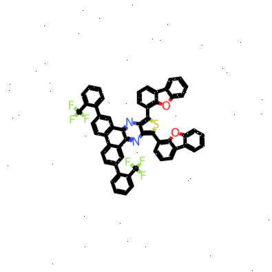 FC(F)(F)c1ccccc1-c1ccc2c3ccc(-c4ccccc4C(F)(F)F)cc3c3nc4c(-c5cccc6c5oc5ccccc56)sc(-c5cccc6c5oc5ccccc56)c4nc3c2c1